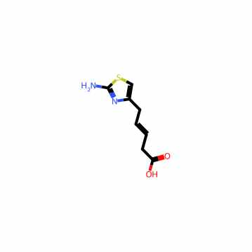 Nc1nc(CC=CCC(=O)O)cs1